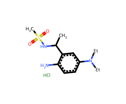 CCN(CC)c1ccc(N)c(C(C)NS(C)(=O)=O)c1.Cl